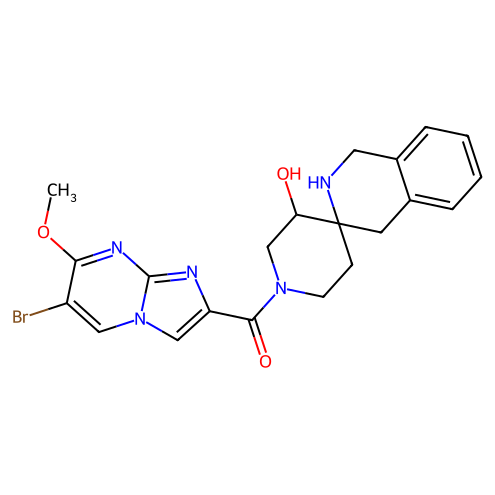 COc1nc2nc(C(=O)N3CCC4(Cc5ccccc5CN4)C(O)C3)cn2cc1Br